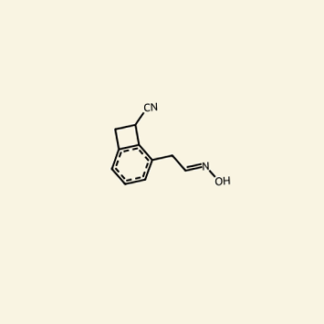 N#CC1Cc2cccc(CC=NO)c21